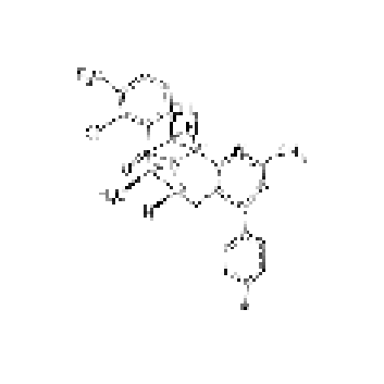 Cc1nc(-c2ccc(F)cc2)c2c(n1)[C@H]1[C@H](C)C[C@H](C)[C@@H](C2)N1C(=O)c1cccc(C(F)(F)F)c1Cl